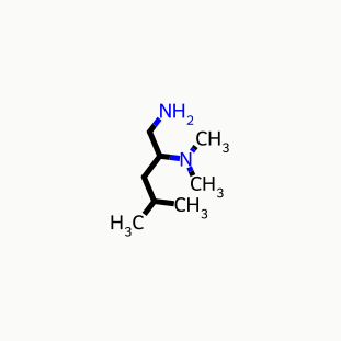 CC(C)CC(CN)N(C)C